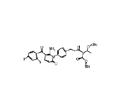 CC(OC(C)(C)C)[C@H](NCCc1ccc(-n2c(N)c(C(=O)c3ccc(F)cc3F)ccc2=O)cc1)C(=O)OC(C)(C)C